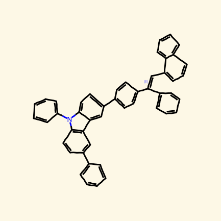 C(=C(/c1ccccc1)c1ccc(-c2ccc3c(c2)c2cc(-c4ccccc4)ccc2n3-c2ccccc2)cc1)/c1cccc2ccccc12